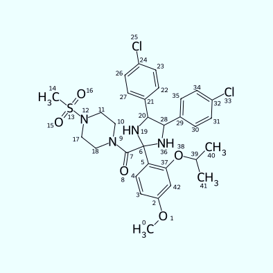 COc1ccc(C2(C(=O)N3CCN(S(C)(=O)=O)CC3)NC(c3ccc(Cl)cc3)C(c3ccc(Cl)cc3)N2)c(OC(C)C)c1